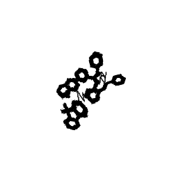 CC1(C)c2ccccc2-c2ccc(N(c3ccc4cc(-c5ccccc5)n5nc(-c6ccccc6)c(-c6ccccc6)c5c4c3)c3cccc4ccccc34)cc21